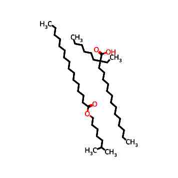 CCCCCCCCCCCCCCC(CC)(CCCCCC)C(=O)O.CCCCCCCCCCCCCCCC(=O)OCCCCCC(C)C